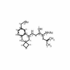 C=C(C)C[C@H](NC(C)=O)[C@H](O)CN[C@H]1CC2(CCC2)Oc2ncc(CC(C)(C)C)cc21